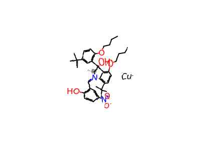 CCCCOc1ccc(C(C)(C)C)cc1C(O)(c1cc(C(C)(C)C)ccc1OCCCC)[C@@H](C)N=Cc1cc([N+](=O)[O-])ccc1O.[Cu]